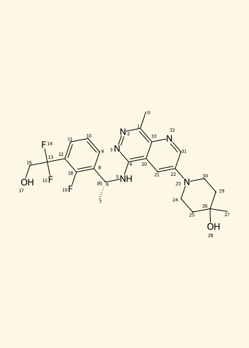 Cc1nnc(N[C@H](C)c2cccc(C(F)(F)CO)c2F)c2cc(N3CCC(C)(O)CC3)cnc12